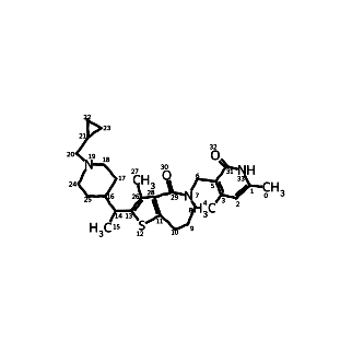 Cc1cc(C)c(CN2CCCc3sc(C(C)C4CCN(CC5CC5)CC4)c(C)c3C2=O)c(=O)[nH]1